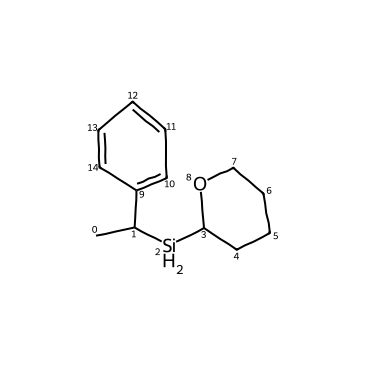 CC([SiH2]C1CCCCO1)c1ccccc1